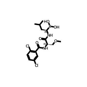 COC[C@H](NC(=O)c1cc(Cl)ccc1Cl)C(=O)N[C@@H](CC(C)C)B(O)O